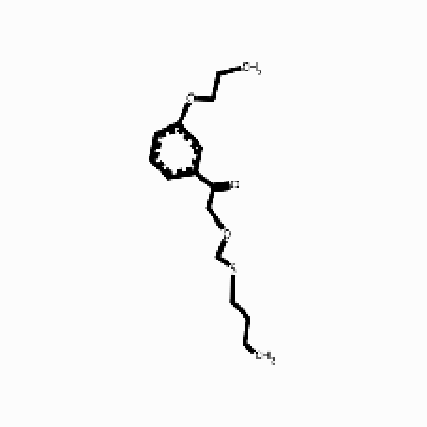 CCCCSCOCC(=O)c1cccc(OCCC)c1